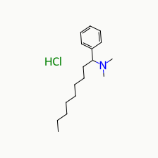 CCCCCCCCC(c1ccccc1)N(C)C.Cl